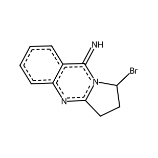 N=c1c2ccccc2nc2n1C(Br)CC2